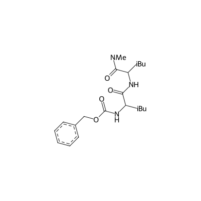 CCC(C)C(NC(=O)OCc1ccccc1)C(=O)NC(C(=O)NC)C(C)CC